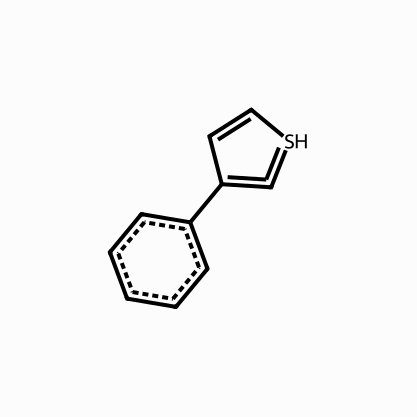 C1=[SH]C=CC=1c1ccccc1